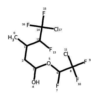 CC(CC(O)OC(F)C(F)(F)Cl)C(F)C(F)(F)Cl